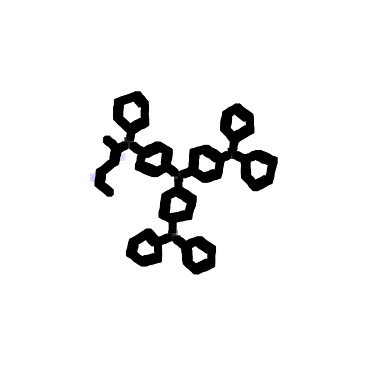 C/C=C\C=C(/C)N(c1ccccc1)c1ccc(N(c2ccc(N(c3ccccc3)c3ccccc3)cc2)c2ccc(N(c3ccccc3)c3ccccc3)cc2)cc1